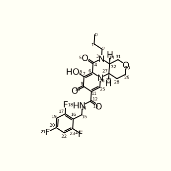 CCCN1C(=O)c2c(O)c(=O)c(C(=O)NCc3c(F)cc(F)cc3F)cn2[C@H]2CCOC[C@H]21